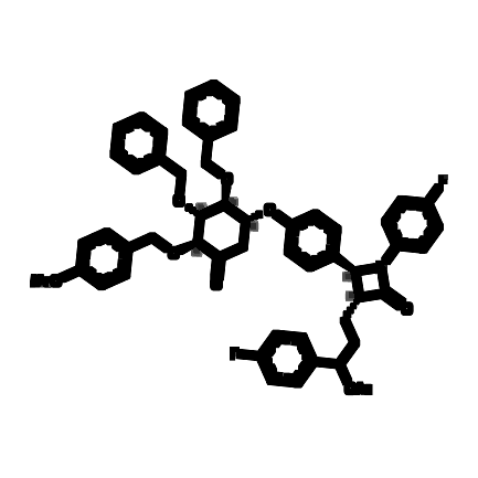 COc1ccc(CO[C@@H]2C(=O)C[C@@H](Oc3ccc([C@@H]4[C@@H](CCC(OC(C)=O)c5ccc(F)cc5)C(=O)N4c4ccc(F)cc4)cc3)[C@H](OCc3ccccc3)[C@H]2OCc2ccccc2)cc1